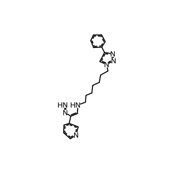 N=N/C(=C\NCCCCCCCn1cc(-c2ccccc2)nn1)c1cccnc1